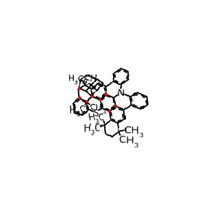 CC1(C)CCC(C)(C)c2cc(-c3ccccc3N(c3ccc4c(c3)C3(c5ccccc5S4)C4CC5CC6CC3C64C5)c3ccccc3-c3ccc4c(c3)C(C)(C)CCC4(C)C)ccc21